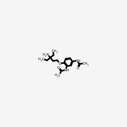 CCC(N)(CC)CCOc1ccc(NC(C)=O)cc1NC(C)=O